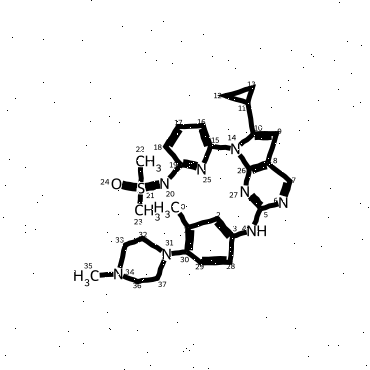 Cc1cc(Nc2ncc3cc(C4CC4)n(-c4cccc(N=S(C)(C)=O)n4)c3n2)ccc1N1CCN(C)CC1